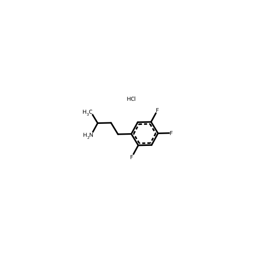 CC(N)CCc1cc(F)c(F)cc1F.Cl